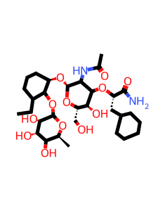 CCC1CCC[C@@H](O[C@@H]2O[C@@H](CO)[C@H](O)C(O[C@@H](CC3CCCCC3)C(N)=O)C2NC(C)=O)C1OC1O[C@@H](C)C(O)[C@H](O)[C@@H]1O